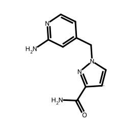 NC(=O)c1[c]cn(Cc2ccnc(N)c2)n1